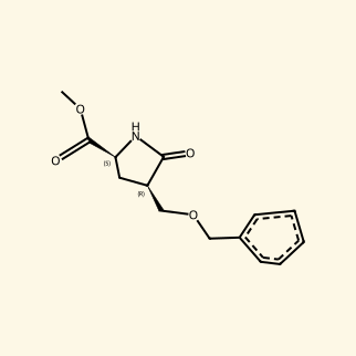 COC(=O)[C@@H]1C[C@H](COCc2ccccc2)C(=O)N1